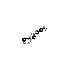 [CH2]C(=O)Nc1cccc(CCC(=O)Nc2cncc(Nc3ccc(-c4ccc(C(=O)N(C)C)cc4)cn3)c2)c1